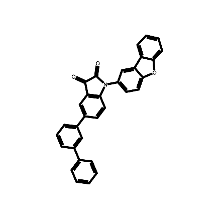 O=C1C(=O)N(c2ccc3oc4ccccc4c3c2)c2ccc(-c3cccc(-c4ccccc4)c3)cc21